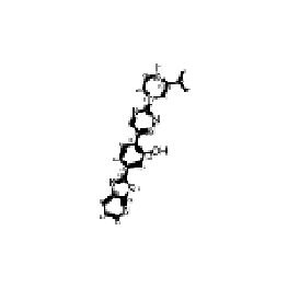 CC(C)[C@H]1CN(c2ncc(-c3ccc(-c4nc5cccnc5s4)cc3O)nn2)CCN1